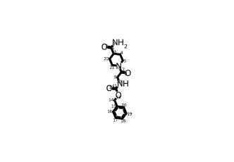 NC(=O)C1CCN(C(=O)CNC(=O)OCc2ccccc2)CC1